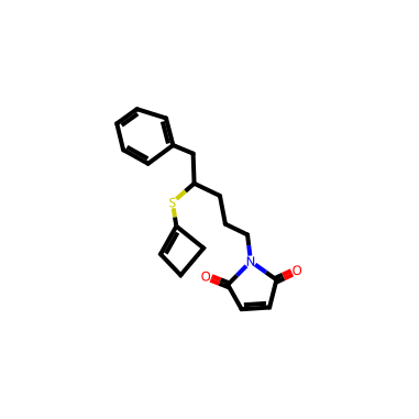 O=C1C=CC(=O)N1CCCC(Cc1ccccc1)SC1=CCC1